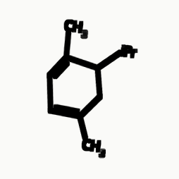 CC1=CC=C(C)C(C(C)C)C1